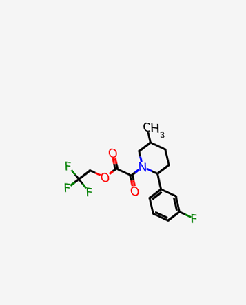 CC1CCC(c2cccc(F)c2)N(C(=O)C(=O)OCC(F)(F)F)C1